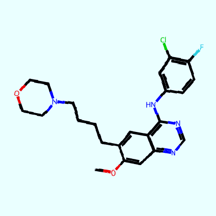 COc1cc2ncnc(Nc3ccc(F)c(Cl)c3)c2cc1CCCCN1CCOCC1